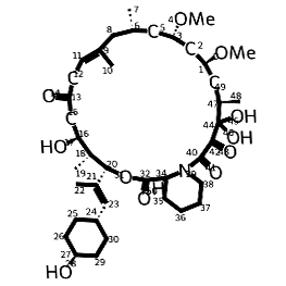 CO[C@@H]1C[C@@H](OC)C[C@@H](C)C/C(C)=C/CC(=O)C[C@H](O)[C@@H](C)[C@@H](/C(C)=C/[C@H]2CC[C@H](O)CC2)OC(=O)[C@@H]2CCCCN2C(=O)C(=O)C(O)(O)[C@H](C)C1